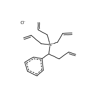 C=CCC(c1ccccc1)[N+](CC=C)(CC=C)CC=C.[Cl-]